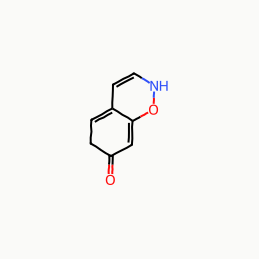 O=C1C=C2ONC=CC2=CC1